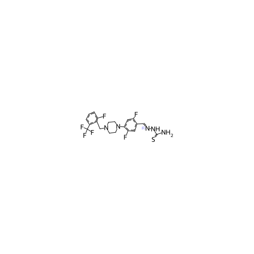 NC(=S)N/N=C/c1cc(F)c(N2CCN(Cc3c(F)cccc3C(F)(F)F)CC2)cc1F